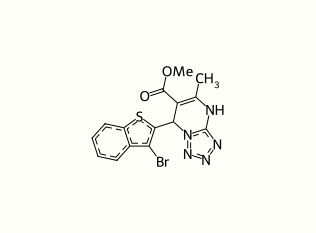 COC(=O)C1=C(C)Nc2nnnn2C1c1sc2ccccc2c1Br